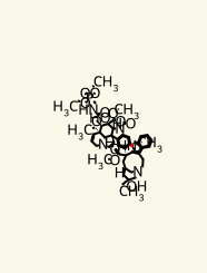 CCOP(=O)(CNC(=O)O[C@@H]1[C@]2(CC)C=CCN3CC[C@@]4(c5cc([C@@]6(C(=O)OC)C[C@H]7CN(CCc8c6[nH]c6ccccc86)C[C@](O)(CC)C7)c(OC)cc5N(C=O)[C@H]4[C@@]1(O)C(=O)OC)[C@@H]32)OCC